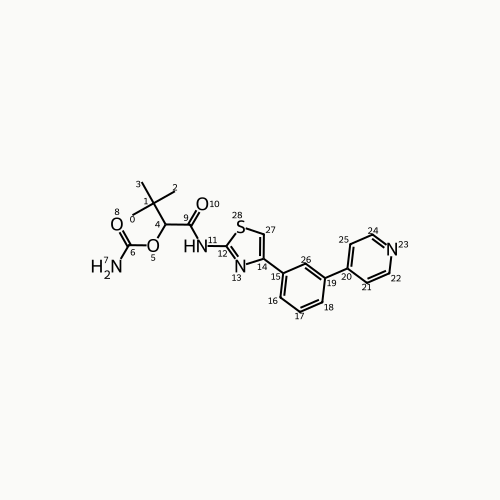 CC(C)(C)C(OC(N)=O)C(=O)Nc1nc(-c2cccc(-c3ccncc3)c2)cs1